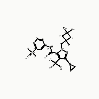 CC1(Cn2nc(C3CC3)c(C(F)(F)F)c2C(=O)Nc2ccnc(P(C)(C)=O)c2)CC(F)(F)C1